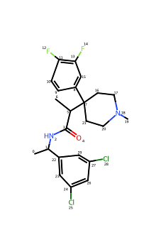 CC(NC(=O)C(C)C1(c2ccc(F)c(F)c2)CCN(C)CC1)c1cc(Cl)cc(Cl)c1